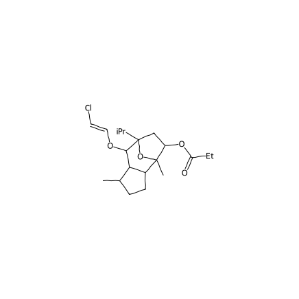 CCC(=O)OC1CC2(C(C)C)OC1(C)C1CCC(C)C1C2OC=CCl